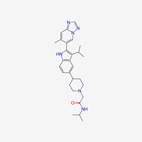 Cc1cc2ncnn2cc1-c1[nH]c2ccc(C3CCN(CC(=O)NC(C)C)CC3)cc2c1C(C)C